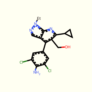 CCn1ncc2c(-c3cc(Cl)c(N)c(Cl)c3)c(CO)c(C3CC3)nc21